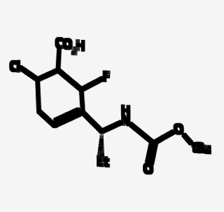 CC[C@@H](NC(=O)OC(C)(C)C)C1=CCC(Cl)C(C(=O)O)C1F